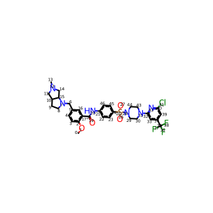 COc1ccc(CN2CCC3CN(C)CC32)cc1C(=O)Nc1ccc(S(=O)(=O)N2CCN(c3cc(C(F)(F)F)cc(Cl)n3)CC2)cc1